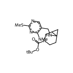 CNc1nc(SC)ncc1CNC12CCN(C(=O)OC(C)(C)C)CC1C2